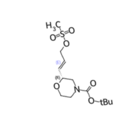 CC(C)(C)OC(=O)N1CCO[C@H](/C=C/COS(C)(=O)=O)C1